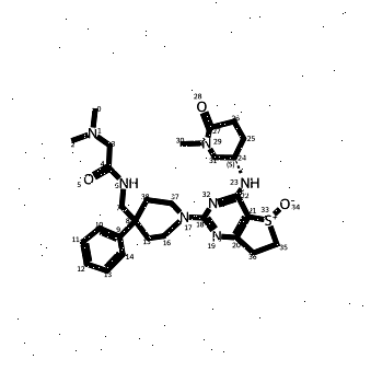 CN(C)CC(=O)NCC1(c2ccccc2)CCN(c2nc3c(c(N[C@H]4CCC(=O)N(C)C4)n2)[S+]([O-])CC3)CC1